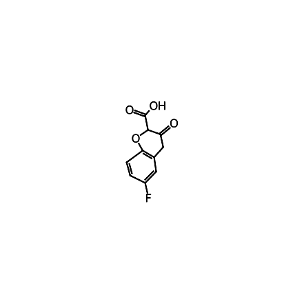 O=C(O)C1Oc2ccc(F)cc2CC1=O